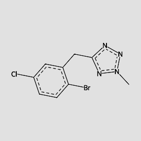 Cn1nnc(Cc2cc(Cl)ccc2Br)n1